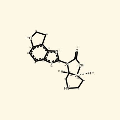 O=C1N[Si@H]2CCNC[C@@H]2N1c1nc2c3c(ccc2s1)OCC3